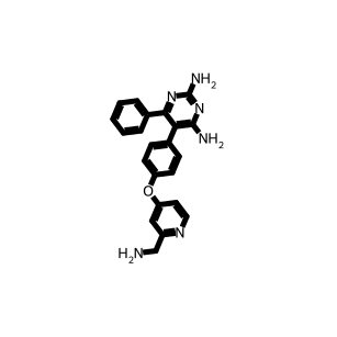 NCc1cc(Oc2ccc(-c3c(N)nc(N)nc3-c3ccccc3)cc2)ccn1